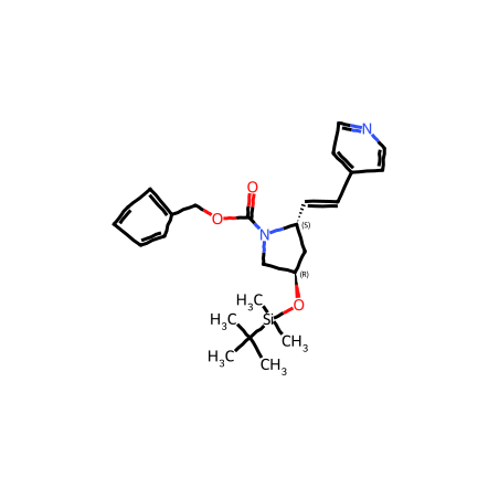 CC(C)(C)[Si](C)(C)O[C@@H]1C[C@@H](C=Cc2ccncc2)N(C(=O)OCc2ccccc2)C1